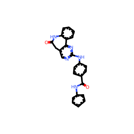 O=C1Cc2cnc(Nc3ccc(C(=O)Nc4ccccc4)cc3)nc2-c2ccccc2N1